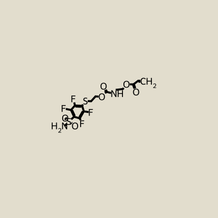 C=CC(=O)OCCNC(=O)OCCSc1c(F)c(F)c(S(N)(=O)=O)c(F)c1F